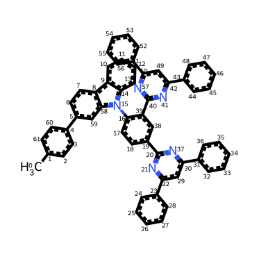 Cc1ccc(-c2ccc3c4ccccc4n(-c4ccc(-c5nc(-c6ccccc6)cc(-c6ccccc6)n5)cc4-c4nc(-c5ccccc5)cc(-c5ccccc5)n4)c3c2)cc1